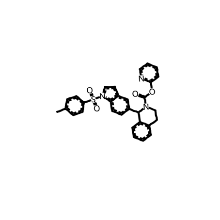 Cc1ccc(S(=O)(=O)n2ccc3cc(C4c5ccccc5CCN4C(=O)Oc4ccccn4)ccc32)cc1